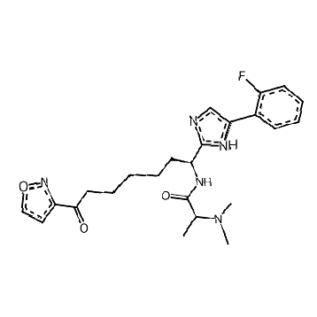 CC(C(=O)N[C@@H](CCCCCC(=O)c1ccon1)c1ncc(-c2ccccc2F)[nH]1)N(C)C